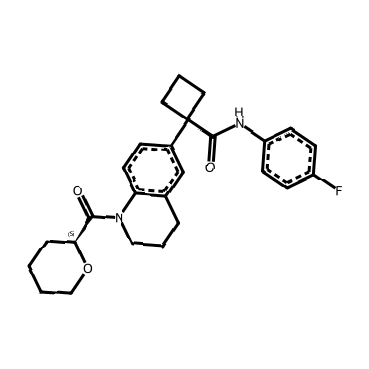 O=C([C@@H]1CCCCO1)N1CCCc2cc(C3(C(=O)Nc4ccc(F)cc4)CCC3)ccc21